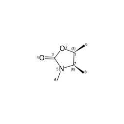 C[C@@H]1OC(=O)N(C)[C@@H]1C